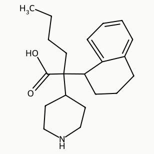 CCCCC(C(=O)O)(C1CCNCC1)C1CCCc2ccccc21